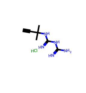 C#CC(C)(C)NC(=N)NC(=N)N.Cl